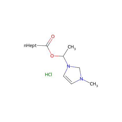 CCCCCCCC(=O)OC(C)N1C=CN(C)C1.Cl